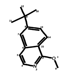 COc1nccc2cc(C(C)(C)C)ccc12